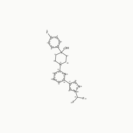 OC1(c2ccc(F)cc2)CCN(c2cncc(-c3cnn(C(F)F)c3)n2)CC1